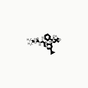 C[C@@H](NC(=O)OC(C)(C)C)c1cn2cc(C3CC3)cc(NCC3(N(C)Cc4ccccc4)COC3)c2n1